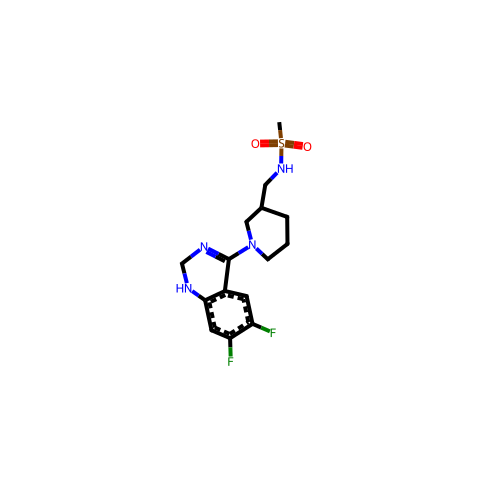 CS(=O)(=O)NCC1CCCN(C2=NCNc3cc(F)c(F)cc32)C1